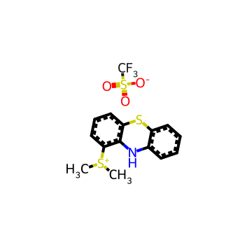 C[S+](C)c1cccc2c1Nc1ccccc1S2.O=S(=O)([O-])C(F)(F)F